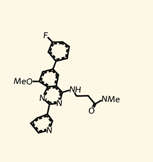 CNC(=O)CCNc1nc(-c2cccnc2)nc2c(OC)cc(-c3cccc(F)c3)cc12